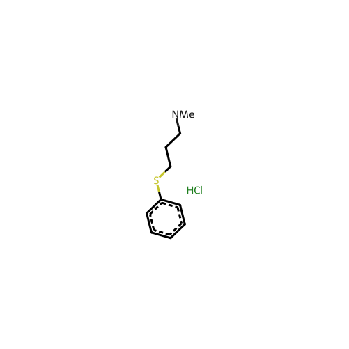 CNCCCSc1ccccc1.Cl